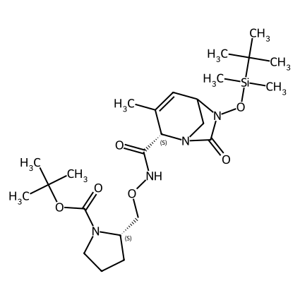 CC1=CC2CN(C(=O)N2O[Si](C)(C)C(C)(C)C)[C@@H]1C(=O)NOC[C@@H]1CCCN1C(=O)OC(C)(C)C